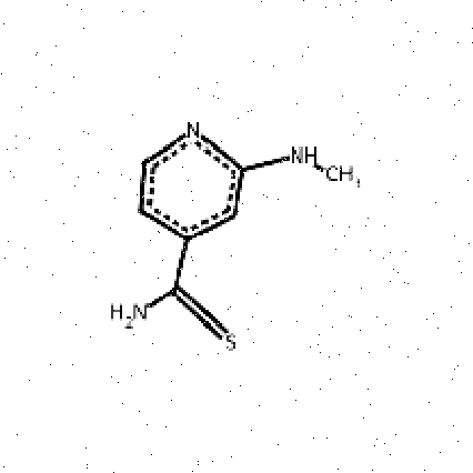 CNc1cc(C(N)=S)ccn1